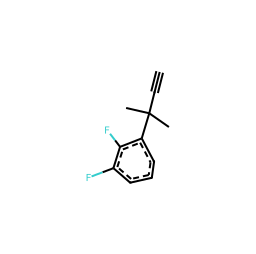 C#CC(C)(C)c1cccc(F)c1F